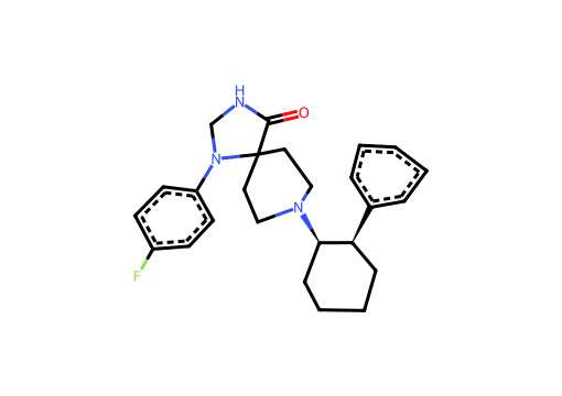 O=C1NCN(c2ccc(F)cc2)C12CCN([C@@H]1CCCC[C@@H]1c1ccccc1)CC2